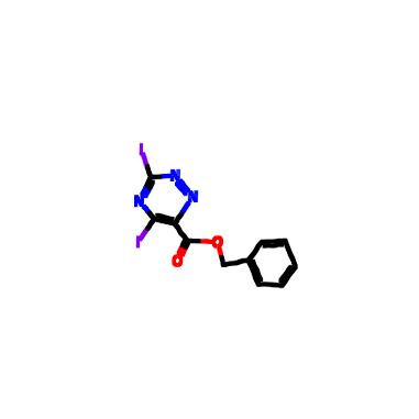 O=C(OCc1ccccc1)c1nnc(I)nc1I